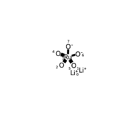 [Li+].[Li+].[O]=[Ru](=[O])(=[O])([O-])[O-]